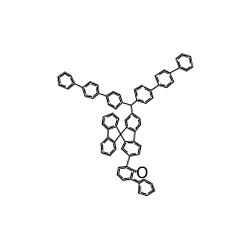 c1ccc(-c2ccc(-c3ccc(C(c4ccc(-c5ccc(-c6ccccc6)cc5)cc4)c4ccc5c(c4)C4(c6ccccc6-c6ccccc64)c4cc(-c6cccc7c6oc6ccccc67)ccc4-5)cc3)cc2)cc1